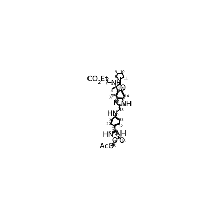 CCOC(=O)CNC(C)(C(=O)N1CCCC1)c1ccc2[nH]c(CNc3ccc(C(=N)NC(=O)OCOC(C)=O)cc3)nc2c1C